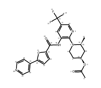 CC(=O)O[C@H]1CCN(c2ncc(C(F)(F)F)cc2NC(=O)c2ccc(-c3ccncc3)o2)[C@@H](C)C1